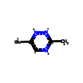 Cc1ncc(C(C)(C)C)nn1